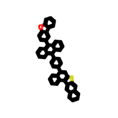 c1ccc2cc3c(cc2c1)sc1cc(-c2ccc(-c4c5ccccc5c(-c5ccc6oc7ccccc7c6c5)c5ccccc45)cc2)c2ccccc2c13